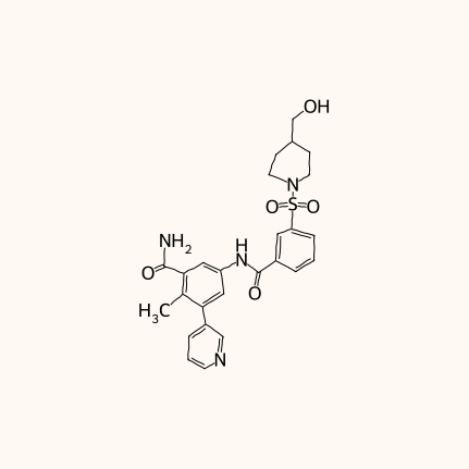 Cc1c(C(N)=O)cc(NC(=O)c2cccc(S(=O)(=O)N3CCC(CO)CC3)c2)cc1-c1cccnc1